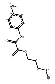 C=C(OCCCOCC)C(=O)Oc1ccc(CCCCCCCCC)cc1